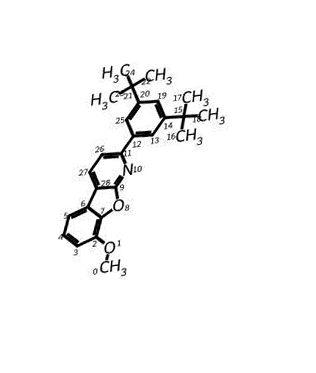 COc1cccc2c1oc1nc(-c3cc(C(C)(C)C)cc(C(C)(C)C)c3)ccc12